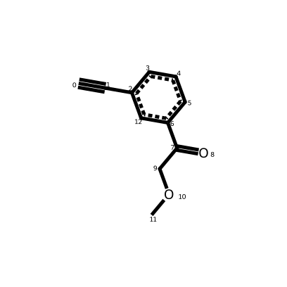 C#Cc1cccc(C(=O)COC)c1